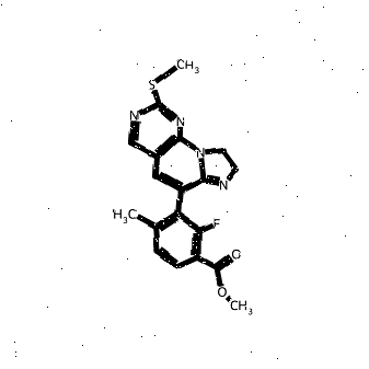 COC(=O)c1ccc(C)c(C2=Cc3cnc(SC)nc3N3CCN=C23)c1F